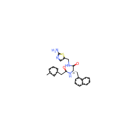 Cc1cccc(CC(=O)N[C@@H](Cc2cccc3ccccc23)C(=O)NCc2cnc(N)s2)c1